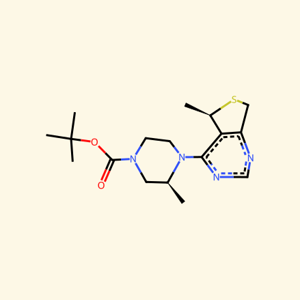 C[C@H]1SCc2ncnc(N3CCN(C(=O)OC(C)(C)C)C[C@@H]3C)c21